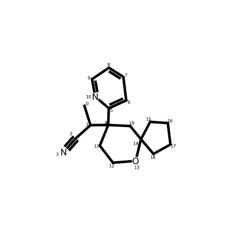 CC(C#N)C1(c2ccccn2)CCOC2(CCCC2)C1